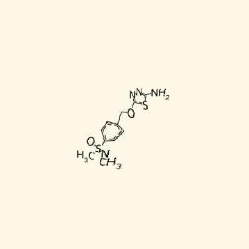 CN=S(C)(=O)c1ccc(COc2nnc(N)s2)cc1